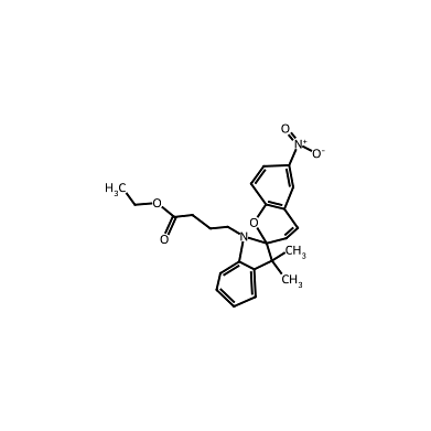 CCOC(=O)CCCN1c2ccccc2C(C)(C)C12C=Cc1cc([N+](=O)[O-])ccc1O2